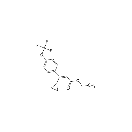 CCOC(=O)C=C(c1ccc(OC(F)(F)F)cc1)C1CC1